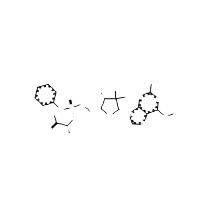 CNc1nc(N)nc2c1ncn2[C@@H]1O[C@H](CO[P@@](=O)(N[C@@H](C)C(=O)O)Oc2ccccc2)[C@@H](O)C1(F)F